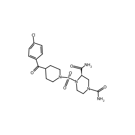 NC(=O)[C@H]1CN(C(N)=O)CCN1S(=O)(=O)N1CCC(C(=O)c2ccc(Cl)cc2)CC1